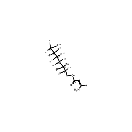 CC(N)=CC(=O)OCC(F)(F)C(F)(F)C(F)(F)C(F)(F)C(F)(F)C(F)(F)F